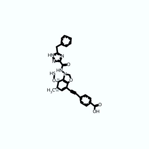 C[C@H]1C=C(C#Cc2ccc(C(=O)O)cc2)C2=C([C@H]1OS)N(NC(=O)c1n[nH]c(Cc3ccccc3)n1)CO2